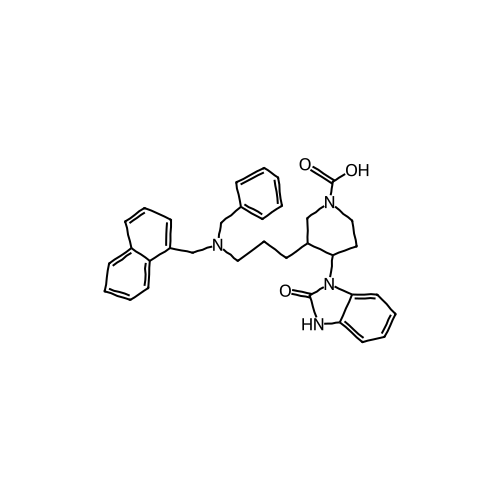 O=C(O)N1CCC(n2c(=O)[nH]c3ccccc32)C(CCCN(Cc2ccccc2)Cc2cccc3ccccc23)C1